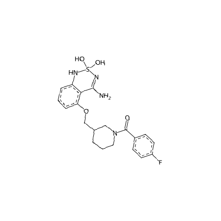 NC1=NS(O)(O)Nc2cccc(OCC3CCCN(C(=O)c4ccc(F)cc4)C3)c21